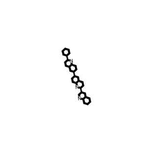 c1ccc(-c2ccc3cc(-c4ccc5nc(-c6cnc7ccccc7c6)ccc5c4)ccc3n2)cc1